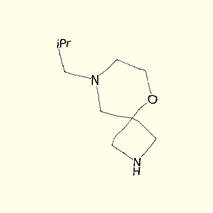 CC(C)CN1CCOC2(CNC2)C1